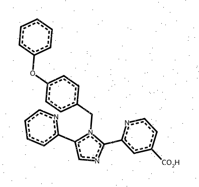 O=C(O)c1ccnc(-c2ncc(-c3ccccn3)n2Cc2ccc(Oc3ccccc3)cc2)c1